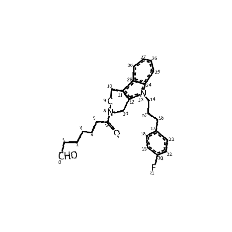 O=CCCCCCC(=O)N1CCc2c(n(CCCc3ccc(F)cc3)c3ccccc23)C1